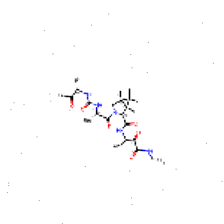 CCCC(NC(=O)[C@@H]1[C@@H]2[C@H](CN1C(=O)[C@@H](NC(=O)N[C@H](C(=O)C(C)C)C(C)C)C(C)(C)C)C2(C)C)C(=O)C(=O)NCC(F)(F)F